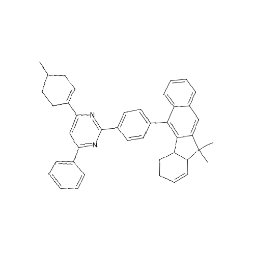 CC1CC=C(c2cc(-c3ccccc3)nc(-c3ccc(-c4c5c(cc6ccccc46)C(C)(C)C4C=CCCC54)cc3)n2)CC1